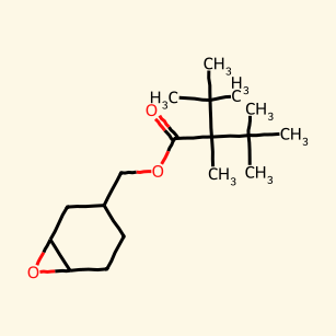 CC(C)(C)C(C)(C(=O)OCC1CCC2OC2C1)C(C)(C)C